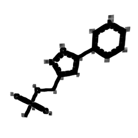 CS(=O)(=O)OCc1cc(-c2cccnc2)on1